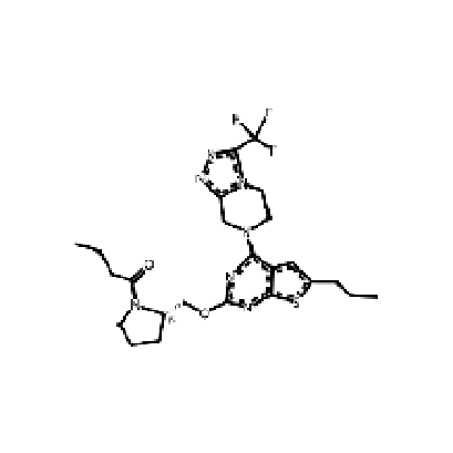 CCCC(=O)N1CCC[C@H]1COc1nc(N2CCn3c(nnc3C(F)(F)F)C2)c2cc(CCC)sc2n1